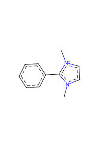 Cn1cc[n+](C)c1-c1ccccc1